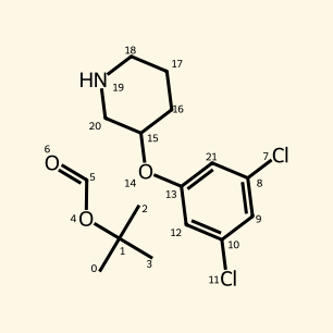 CC(C)(C)OC=O.Clc1cc(Cl)cc(OC2CCCNC2)c1